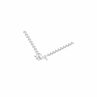 O.O.O.O.O.[Zn].[Zn].[Zn].[Zn].[Zn].[Zn].[Zn].[Zn].[Zn].[Zn].[Zn].[Zn].[Zn].[Zn].[Zn].[Zn].[Zn].[Zn].[Zn]